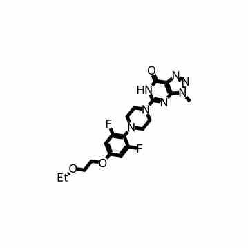 CCOCCOc1cc(F)c(N2CCN(c3nc4c(nnn4C)c(=O)[nH]3)CC2)c(F)c1